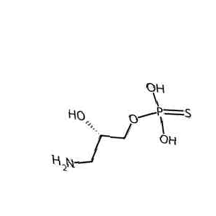 NC[C@H](O)COP(O)(O)=S